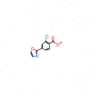 COC(=O)c1ccc(-c2ncco2)cc1Cl